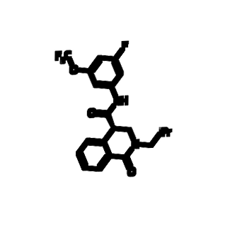 CC(C)CN1C[C@H](C(=O)Nc2cc(F)cc(OC(F)(F)F)c2)c2ccccc2C1=O